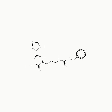 COC(=O)C(CCCNC(=O)OCc1ccccc1)NC(=O)[C@@H]1CCCN1